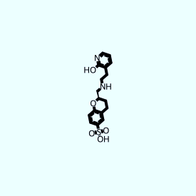 O=S(=O)(O)c1ccc2c(c1)CC[C@H](CNCCc1cccnc1O)O2